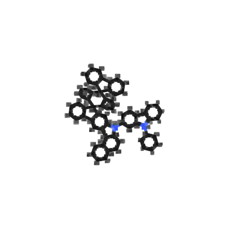 c1ccc(-n2c3ccccc3c3ccc(-n4c5cc6c(cc5c5c7ccccc7ccc54)-c4ccccc4C64c5ccccc5C5(c6ccccc6-c6ccccc65)c5ccccc54)cc32)cc1